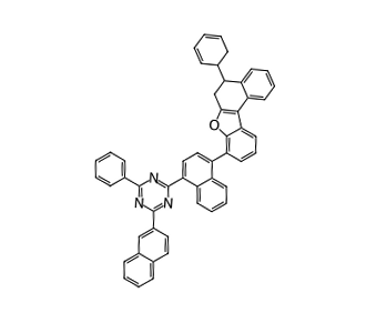 C1=CCC(C2Cc3oc4c(-c5ccc(-c6nc(-c7ccccc7)nc(-c7ccc8ccccc8c7)n6)c6ccccc56)cccc4c3-c3ccccc32)C=C1